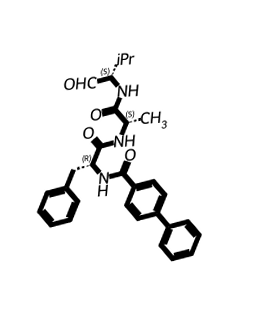 CC(C)[C@@H](C=O)NC(=O)[C@H](C)NC(=O)[C@@H](Cc1ccccc1)NC(=O)c1ccc(-c2ccccc2)cc1